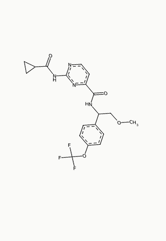 COCC(NC(=O)c1ccnc(NC(=O)C2CC2)n1)c1ccc(OC(F)(F)F)cc1